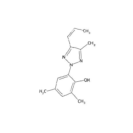 C/C=C\c1nn(-c2cc(C)cc(C)c2O)nc1C